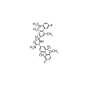 COc1ccc(F)cc1-c1c(C)cc(C(C)NC(C(N)=O)c2cc(C)c(-c3cc(F)ccc3OC)c(C)c2)cc1C